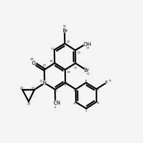 N#Cc1c(-c2cccc(F)c2)c2c(Br)c(O)c(Br)cc2c(=O)n1C1CC1